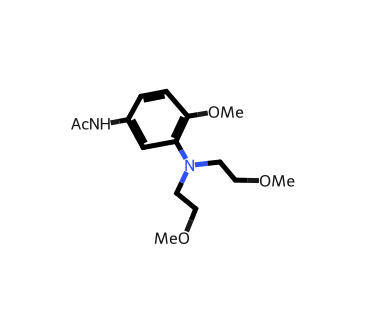 COCCN(CCOC)c1cc(NC(C)=O)ccc1OC